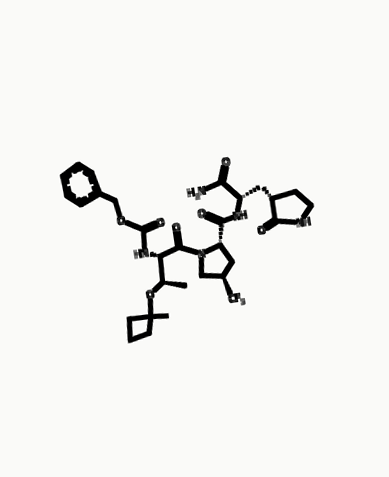 C[C@@H](OC1(C)CCC1)[C@H](NC(=O)OCc1ccccc1)C(=O)N1C[C@H](C(F)(F)F)C[C@H]1C(=O)N[C@@H](C[C@@H]1CCNC1=O)C(N)=O